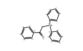 O=C(C[Se](c1ccccc1)c1ccccc1)c1ccccc1